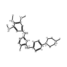 COc1cc(Nc2ncc(C)c(Nc3ccc(N4CCN(C)CC4)cc3)n2)cc(OC)c1OC